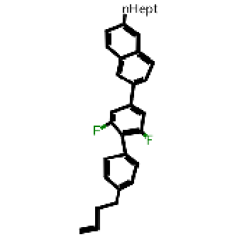 C=CCCc1ccc(-c2c(F)cc(-c3ccc4cc(CCCCCCC)ccc4c3)cc2F)cc1